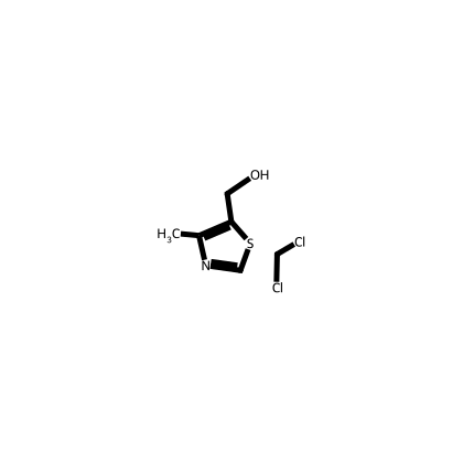 Cc1ncsc1CO.ClCCl